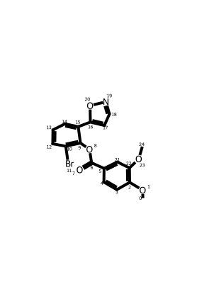 COc1ccc(C(=O)Oc2c(Br)cccc2-c2ccno2)cc1OC